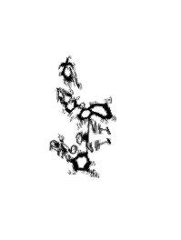 CN1CC(C)(C)C[C@H]1c1nnc2ccc(O[C@@H]3CC[C@H](NC(=O)Nc4cc(NS(C)(=O)=O)cc(C(C)(C)C)c4)c4ccccc43)cn12